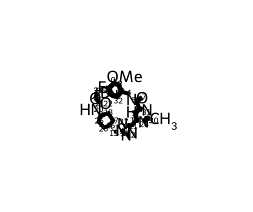 COc1cc(CNC(=O)c2cc(-c3nnn(C[C@H]4CC[C@H](NC(=O)OC(C)(C)C)CC4)n3)nc(C)n2)ccc1F